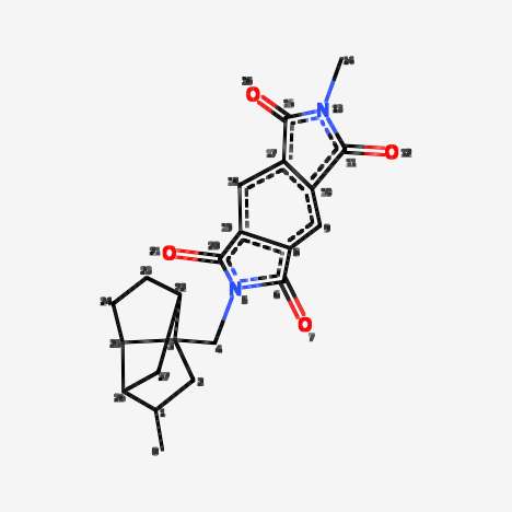 CC1CC2(Cn3c(=O)c4cc5c(=O)n(C)c(=O)c5cc4c3=O)C3CCC2C1C3